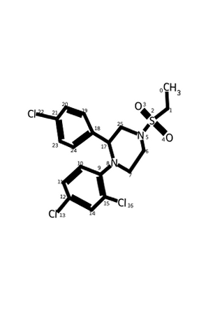 CCS(=O)(=O)N1CCN(c2ccc(Cl)cc2Cl)C(c2ccc(Cl)cc2)C1